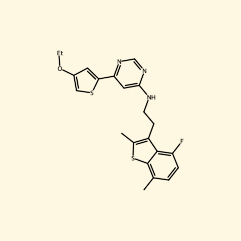 CCOc1csc(-c2cc(NCCc3c(C)sc4c(C)ccc(F)c34)ncn2)c1